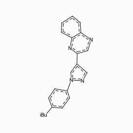 CCC(C)c1ccc(-n2cc(-c3cnc4ccccc4n3)cn2)cc1